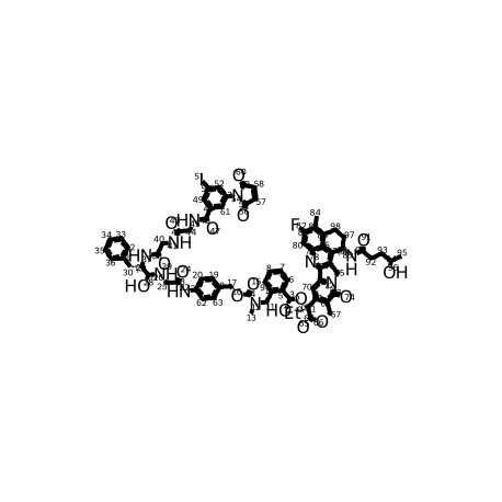 CC[C@@]1(OC(O)c2ccccc2CN(C)C(=O)OCc2ccc(NC(=O)CNC(O)[C@H](Cc3ccccc3)NC(=O)CNC(=O)CNC(=O)c3cc(I)cc(N4C(=O)C=CC4=O)c3)cc2)C(=O)OCc2c1cc1n(c2=O)Cc2c-1nc1cc(F)c(C)c3c1c2[C@@H](NC(=O)CCC(C)O)CC3